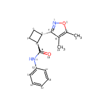 Cc1onc([C@H]2CC[C@@H]2C(=O)Nc2ccccc2)c1C